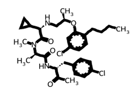 CCCCc1ccc(Cl)cc1O[C@H](C)CN[C@H](C(=O)N(C)[C@H](C)C(=O)N[C@H](Cc1ccc(Cl)cc1)C(C)=O)C1CC1